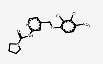 O=C(Nc1cc(COc2ccc([N+](=O)[O-])c(Cl)c2Cl)ccn1)N1CCCC1